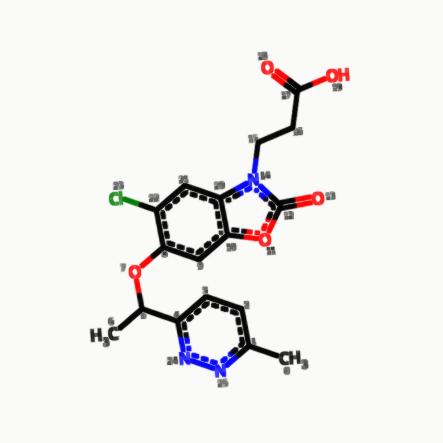 Cc1ccc(C(C)Oc2cc3oc(=O)n(CCC(=O)O)c3cc2Cl)nn1